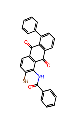 O=C(Nc1c(S)ccc2c1C(=O)c1cccc(-c3ccccc3)c1C2=O)c1ccccc1